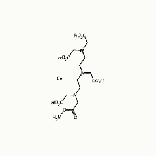 NOC(=O)CN(CCN(CCN(CC(=O)O)CC(=O)O)CC(=O)O)CC(=O)O.[Ce]